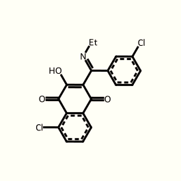 CCN=C(C1=C(O)C(=O)c2c(Cl)cccc2C1=O)c1cccc(Cl)c1